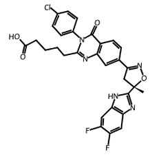 C[C@@]1(c2nc3cc(F)c(F)cc3[nH]2)CC(c2ccc3c(=O)n(-c4ccc(Cl)cc4)c(CCCCC(=O)O)nc3c2)=NO1